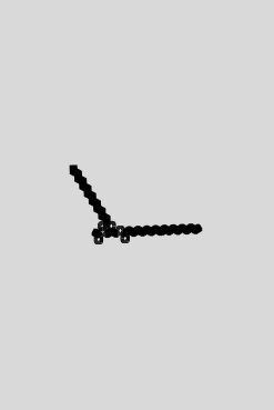 CCCCCCCCC=CCCCCCCCC(=O)OCC(COC(C)=O)OC(=O)CCCCCCCCCCCCCCC